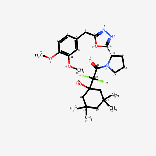 COc1ccc(Cc2nnc([C@@H]3CCCN3C(=O)C(F)(F)C3(O)CC(C)(C)CC(C)(C)C3)o2)cc1OC